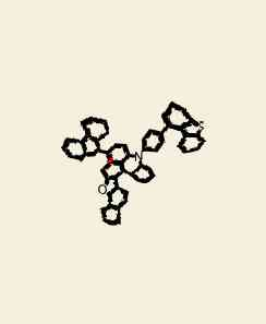 c1ccc(N(c2ccc(-c3cc4ccccc4c4ccccc34)cc2)c2ccc(-c3cccc4sc5ccccc5c34)cc2)c(-c2cccc3oc4c5ccccc5ccc4c23)c1